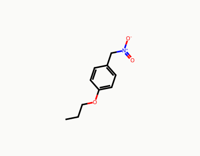 CCCOc1ccc(C[N+](=O)[O-])cc1